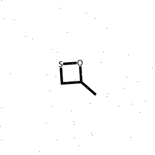 CC1CSO1